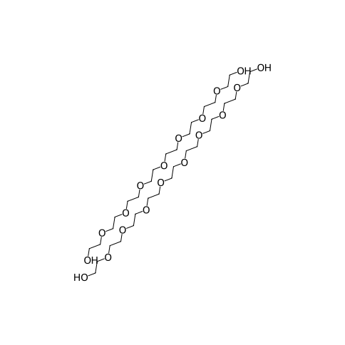 OCCOCCOCCOCCOCCOCCOCCOCCO.OCCOCCOCCOCCOCCOCCOCCOCCOCCO